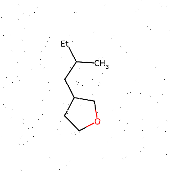 CCC(C)CC1CCOC1